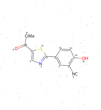 [C-]#[N+]c1cc(-c2ncc(C(=O)OC)s2)ccc1O